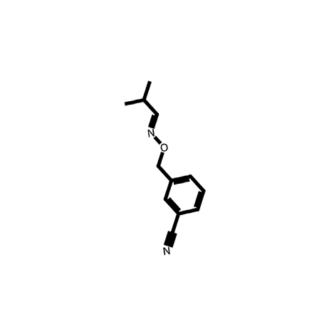 CC(C)C=NOCc1cccc(C#N)c1